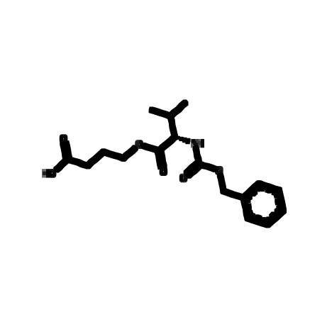 CC(C)[C@H](NC(=O)OCc1ccccc1)C(=O)OCCCC(=O)O